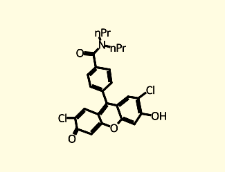 CCCN(CCC)C(=O)c1ccc(-c2c3cc(Cl)c(=O)cc-3oc3cc(O)c(Cl)cc23)cc1